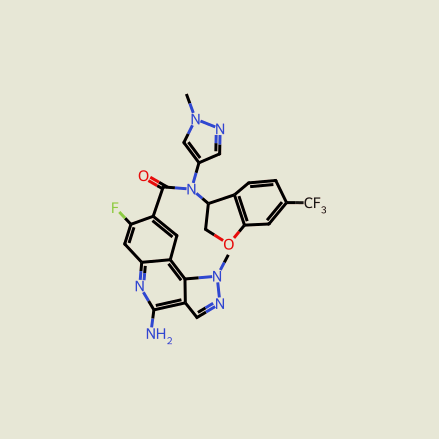 Cn1cc(N(C(=O)c2cc3c(cc2F)nc(N)c2cnn(C)c23)C2COc3cc(C(F)(F)F)ccc32)cn1